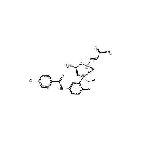 NC(=O)/C=C/[C@]12CC1[C@@](CF)(c1cc(NC(=O)c3ccc(Cl)cn3)ccc1F)N=C(N)S2